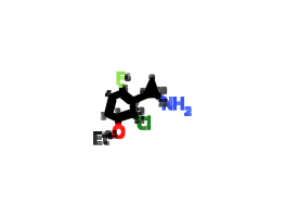 CCOc1ccc(F)c(C2CC2N)c1Cl